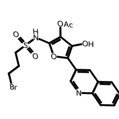 CC(=O)Oc1c(NS(=O)(=O)CCCBr)oc(-c2cnc3ccccc3c2)c1O